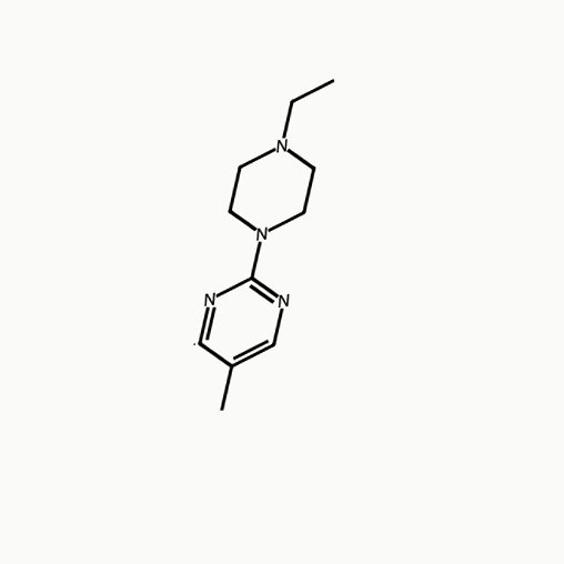 CCN1CCN(c2n[c]c(C)cn2)CC1